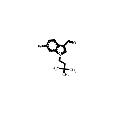 CC(C)(C)CCn1cc(C=O)c2ccc(Br)cc21